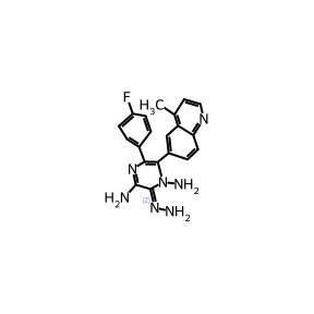 Cc1ccnc2ccc(-c3c(-c4ccc(F)cc4)nc(N)/c(=N/N)n3N)cc12